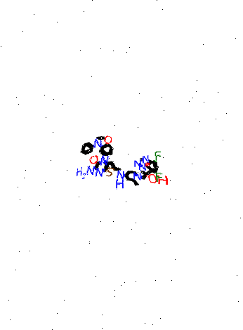 CC1CC(NCc2cc3c(nc(N)c(=O)n3-c3ccc4c(c3)N(c3ccccc3)CCO4)s2)CCN1CC(O)(Cn1cncn1)c1ccc(F)cc1F